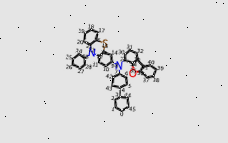 c1ccc(-c2ccc(N(c3ccc4c(c3)Sc3ccccc3N4c3ccccc3)c3cccc4c3oc3ccccc34)cc2)cc1